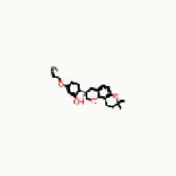 CC(C)CCOc1ccc([C@@H]2COc3c(ccc4c3CCC(C)(C)O4)C2)c(O)c1